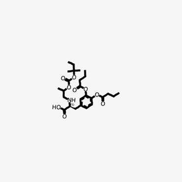 CCCC(=O)Oc1ccc(C[C@H](NCC(C)OC(=O)OC(C)(C)CC)C(=O)O)cc1OC(=O)CCC